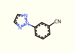 N#Cc1cccc(-n2nccn2)c1